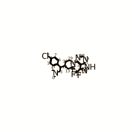 CN(C)CC(c1ccc(Cl)cc1)C1CCN(c2ncnc3[nH]nc(C(F)(F)F)c23)CC1